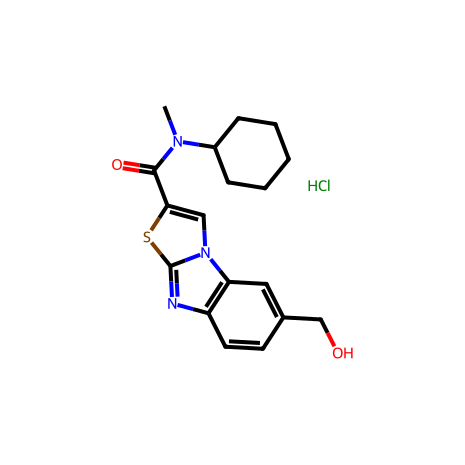 CN(C(=O)c1cn2c(nc3ccc(CO)cc32)s1)C1CCCCC1.Cl